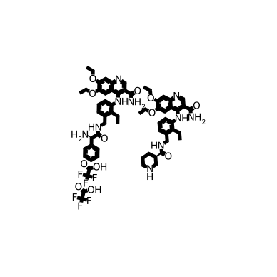 CCOc1cc2ncc(C(N)=O)c(Nc3cccc(CNC(=O)[C@@H](N)c4ccccc4)c3CC)c2cc1OCC.CCOc1cc2ncc(C(N)=O)c(Nc3cccc(CNC(=O)[C@@H]4CCCNC4)c3CC)c2cc1OCC.O=C(O)C(F)(F)F.O=C(O)C(F)(F)F